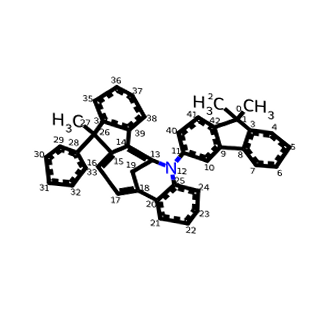 CC1(C)c2ccccc2-c2cc(N3C4=C5C(=CC=C(C4)c4ccccc43)C(C)(c3ccccc3)c3ccccc35)ccc21